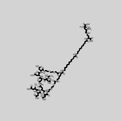 CC(=O)NC(C)(CC(=O)O)C(=O)NC(CC(=O)O)C(=O)NC(CC(=O)O)C(=O)NC(CC(=O)O)C(=O)NCCOCCOCC(=O)NC(CCCCNC(=O)COCCOCCNC(=O)C(CC(=O)O)NC(=O)C(CC(=O)O)NC(=O)C(CC(=O)O)NC(=O)C(C)CC(=O)O)C(=O)NCCCCCCCCCCC(=O)NCCCCCCCCCCC(=O)NC(CCN/C=C(\N)CC(C)(C)C(=O)O)C(=O)O